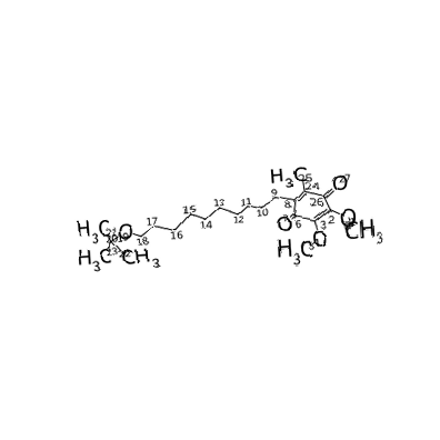 COC1=C(OC)C(=O)C(CCCCCCCCCCOC(C)(C)C)=C(C)C1=O